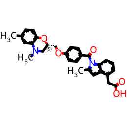 Cc1ccc2c(c1)N(C)C[C@@H](COc1ccc(C(=O)n3c(C)cc4c(CC(=O)O)cccc43)cc1)O2